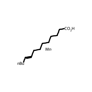 CCCCC=CCCCCCCCC(=O)O.[Mn]